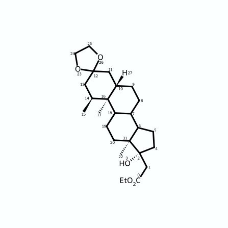 CCOC(=O)C[C@]1(O)CCC2C3CC[C@H]4CC5(C[C@H](C)[C@]4(C)C3CC[C@@]21C)OCCO5